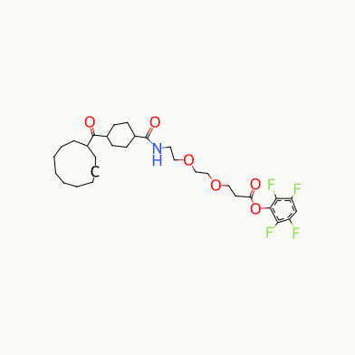 O=C(CCOCCOCCNC(=O)C1CCC(C(=O)C2CCCCCCCCC2)CC1)Oc1c(F)c(F)cc(F)c1F